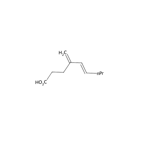 C=C(C=CCCC)CCC(=O)O